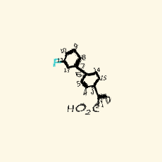 CC(C(=O)O)c1ccc(-c2cccc(F)c2)cc1